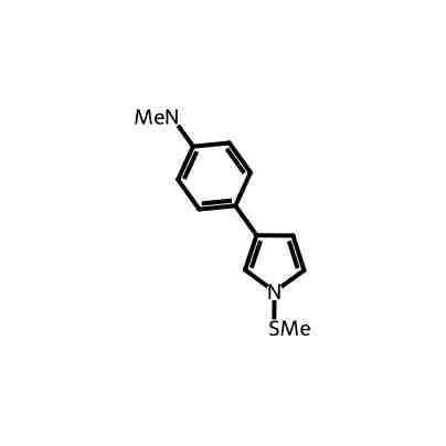 CNc1ccc(-c2ccn(SC)c2)cc1